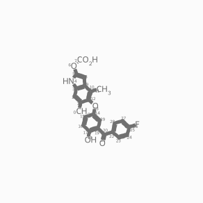 Cc1cc2[nH]c(OC(=O)O)cc2c(C)c1Oc1ccc(O)c(C(=O)c2ccc(F)cc2)c1